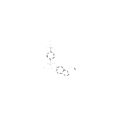 CC(=O)Nc1c[nH]c2ccc(CC3(c4ccc(C(F)(F)F)cc4)CCOC3)cc12